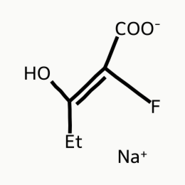 CCC(O)=C(F)C(=O)[O-].[Na+]